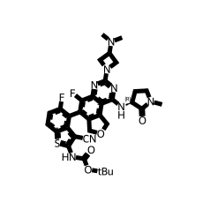 CN1CC[C@@H](Nc2nc(N3CC(N(C)C)C3)nc3c(F)c(-c4c(F)ccc5sc(NC(=O)OC(C)(C)C)c(C#N)c45)c4c(c23)COC4)C1=O